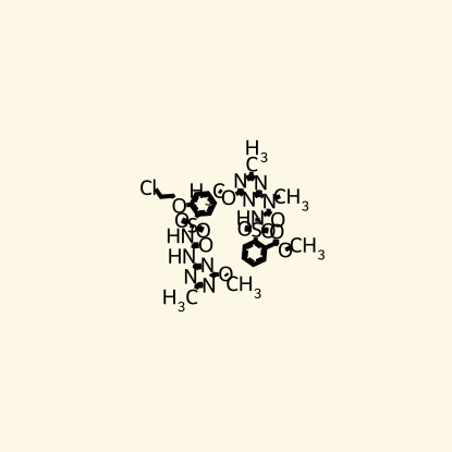 COC(=O)c1ccccc1S(=O)(=O)NC(=O)N(C)c1nc(C)nc(OC)n1.COc1nc(C)nc(NC(=O)NS(=O)(=O)c2ccccc2OCCCl)n1